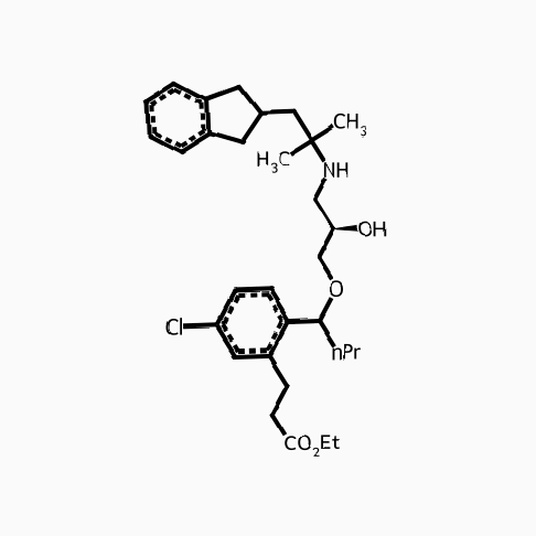 CCCC(OC[C@H](O)CNC(C)(C)CC1Cc2ccccc2C1)c1ccc(Cl)cc1CCC(=O)OCC